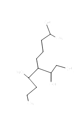 CCCC(O)C(CCCC(C)O)C(O)CC